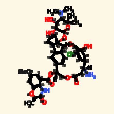 C=C1Oc2cc(OC)cc(C(=O)O[C@H]3COC(=O)C[C@H](N)c4cc(O)c(c(Cl)c4)O[C@@H]4c5ccc3cc5C3=CC=C[C@@]34O[C@@H]3OC(C)(C)[C@@H](N(C)C)[C@@H](O)[C@H]3O)c2NC1=O